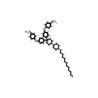 CCCCCCCCCCCCC[C@H]1CC[C@@H](C2CCC(c3ccc(Oc4ccc(N)cc4)cc3)(c3ccc(Oc4ccc(N)cc4)cc3)CC2)CC1